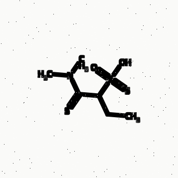 CCC(C(=S)N(C)C)S(=O)(O)=S